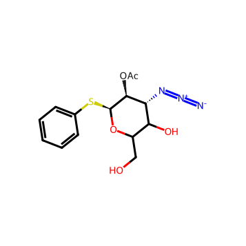 CC(=O)O[C@H]1[C@H](N=[N+]=[N-])C(O)C(CO)O[C@H]1Sc1ccccc1